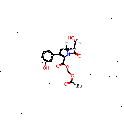 C[C@@H](O)[C@H]1C(=O)N2C(C(=O)OCOC(=O)C(C)(C)C)=C(c3cccc(O)c3)C[C@H]12